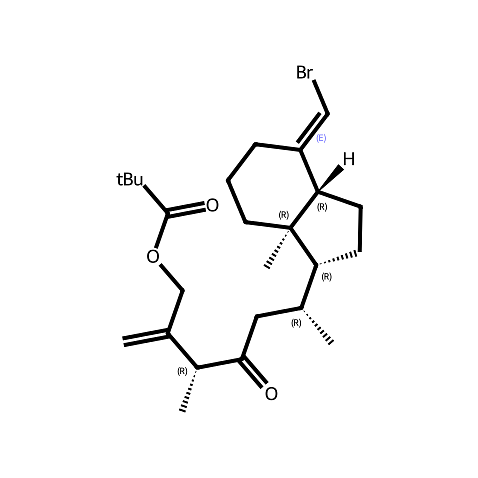 C=C(COC(=O)C(C)(C)C)[C@@H](C)C(=O)C[C@@H](C)[C@H]1CC[C@H]2/C(=C/Br)CCC[C@]12C